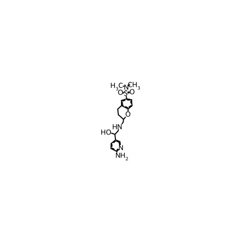 CN(C)S(=O)(=O)c1ccc2c(c1)CCC(CNCC(O)c1ccc(N)nc1)O2